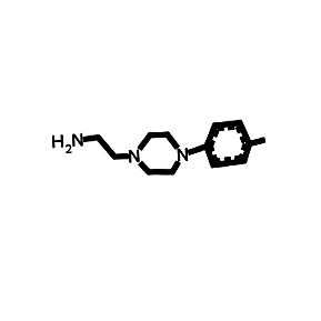 Cc1ccc(N2CCN(CCN)CC2)cc1